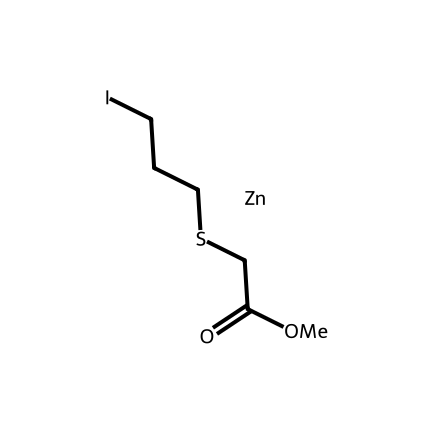 COC(=O)CSCCCI.[Zn]